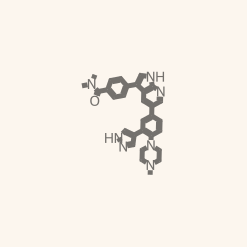 CN1CCN(c2ccc(-c3cnc4[nH]cc(-c5ccc(C(=O)N(C)C)cc5)c4c3)cc2-c2cn[nH]c2)CC1